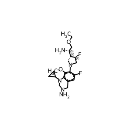 CCOC[C@@H](N)[C@H]1CN(c2c(F)cc3c(c2OC)N(C2CC2)CN(N)C3)C[C@@H]1F